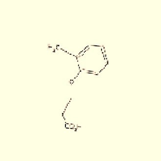 Cc1ccccc1OCCC(=O)O